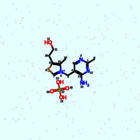 Cc1ncc(C[n+]2csc(CCO)c2C)c(N)n1.O=S(=O)(O)O